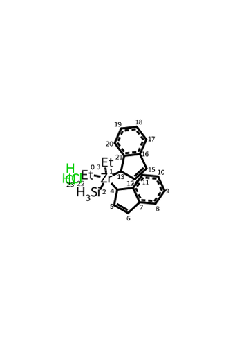 C[CH2][Zr]([SiH3])([CH2]C)([CH]1C=Cc2ccccc21)[CH]1C=Cc2ccccc21.Cl.Cl